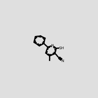 Cc1cc(-c2ccccc2)nc(S)c1C#N